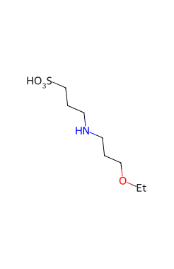 CCOCCCNCCCS(=O)(=O)O